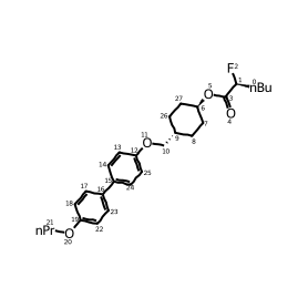 CCCC[C@H](F)C(=O)O[C@H]1CC[C@H](COc2ccc(-c3ccc(OCCC)cc3)cc2)CC1